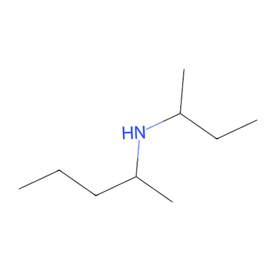 CCCC(C)NC(C)CC